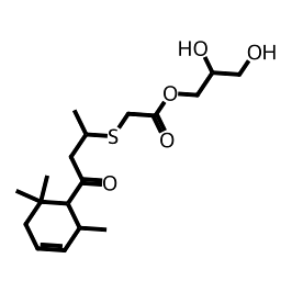 CC(CC(=O)C1C(C)C=CCC1(C)C)SCC(=O)OCC(O)CO